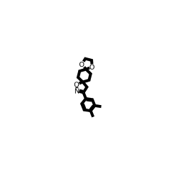 Cc1ccc(C2=NOC3(CCC4(CC3)OCCO4)C2)cc1C